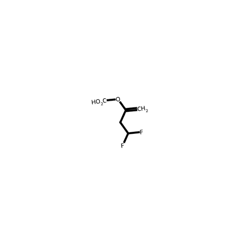 C=C(CC(F)F)OC(=O)O